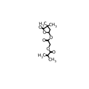 C=C(C)C(=O)OCC(=O)OC1CC(C)(C)C(=O)O1